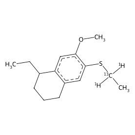 [1H][13C]([1H])(C)Sc1cc2c(cc1OC)C(CC)CCC2